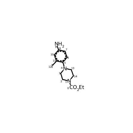 CCOC(=O)N1CCN(c2ccc(N)cc2I)CC1